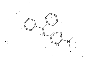 CN(C)c1ncc(N=C(c2ccccc2)c2ccccc2)cn1